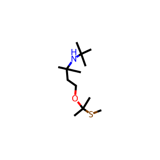 CSC(C)(C)OCCC(C)(C)NC(C)(C)C